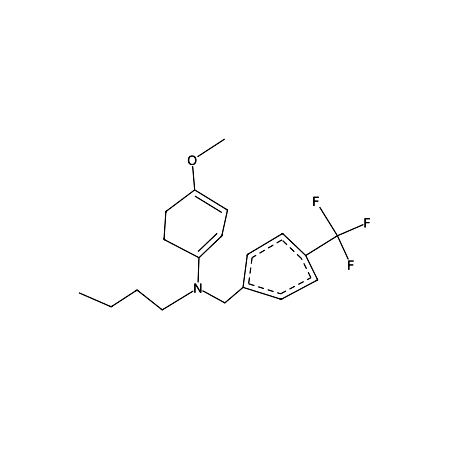 CCCCN(Cc1ccc(C(F)(F)F)cc1)C1=CC=C(OC)CC1